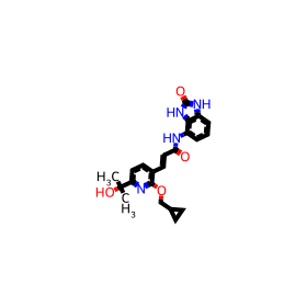 CC(C)(O)c1ccc(/C=C/C(=O)Nc2cccc3[nH]c(=O)[nH]c23)c(OCC2CC2)n1